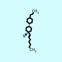 CCCCCC=C[C@]1(C#N)CC[C@@H](C2CCC(CCC)CC2)CC1